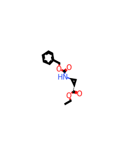 CCOC(=O)[C@H]1C[C@@H]1NC(=O)OCc1ccccc1